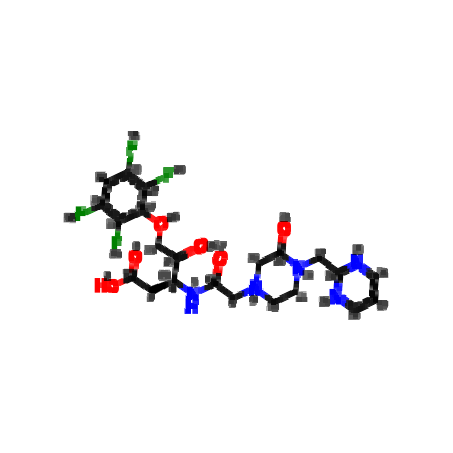 O=C(O)C[C@H](NC(=O)CN1CCN(Cc2ncccn2)C(=O)C1)C(=O)COc1c(F)c(F)cc(F)c1F